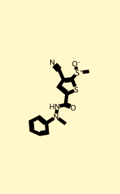 CN(NC(=O)c1cc(C#N)c([S+](C)[O-])s1)c1ccccc1